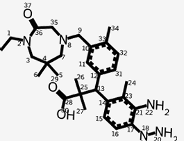 CCN1CC(C)(C)CN(Cc2cc(C(c3ccc(N(C)N)c(N)c3C)C(C)(C)C(=O)O)ccc2C)CC1=O